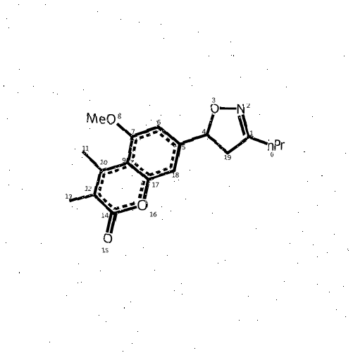 CCCC1=NOC(c2cc(OC)c3c(C)c(C)c(=O)oc3c2)C1